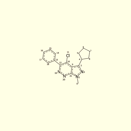 Cn1nc(C2CCCC2)c2c(Cl)c(-c3ccccc3)nnc21